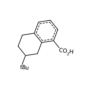 CC(C)(C)C1CCc2cccc(C(=O)O)c2C1